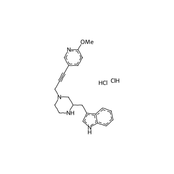 COc1ccc(C#CCN2CCNC(Cc3c[nH]c4ccccc34)C2)cn1.Cl.Cl